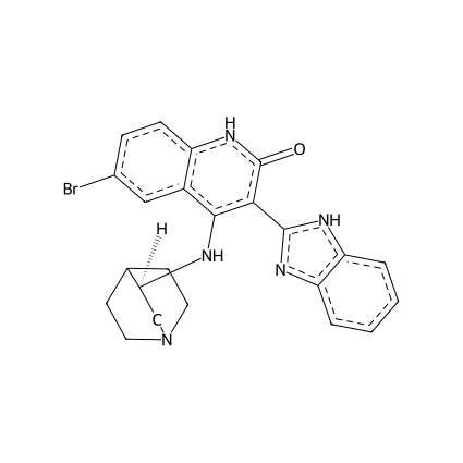 O=c1[nH]c2ccc(Br)cc2c(N[C@H]2CN3CCC2CC3)c1-c1nc2ccccc2[nH]1